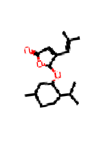 CC(C)=CC1=CC(=O)OC1OC1CC(C)CCC1C(C)C